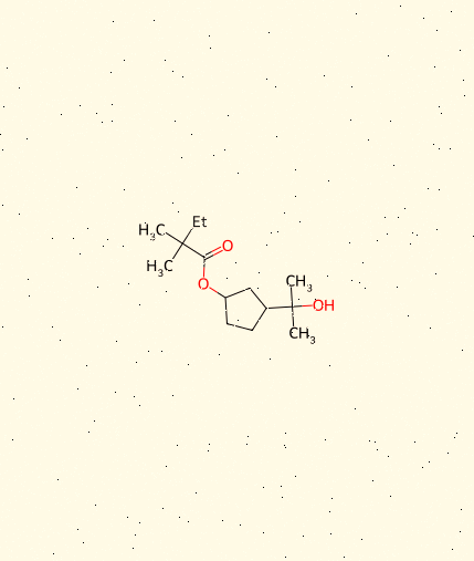 CCC(C)(C)C(=O)OC1CCC(C(C)(C)O)C1